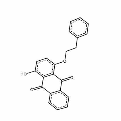 O=C1c2ccccc2C(=O)c2c(OCCc3ccccc3)ccc(O)c21